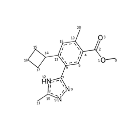 COC(=O)c1cc(-c2nnc(C)[nH]2)c(C2CCC2)cc1C